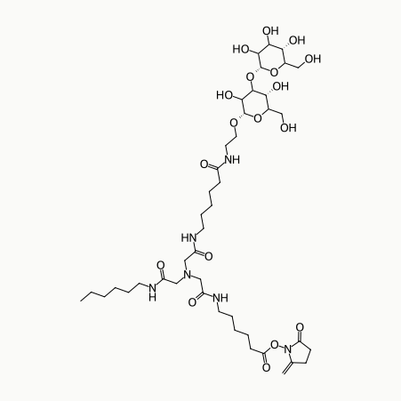 C=C1CCC(=O)N1OC(=O)CCCCCNC(=O)CN(CC(=O)NCCCCCC)CC(=O)NCCCCCC(=O)NCCO[C@H]1OC(CO)[C@@H](O)C(O[C@H]2OC(CO)[C@@H](O)C(O)C2O)C1O